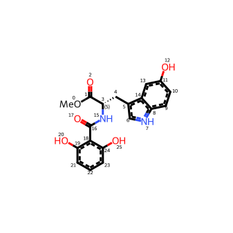 COC(=O)[C@H](Cc1c[nH]c2ccc(O)cc12)NC(=O)c1c(O)cccc1O